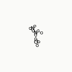 c1ccc(-c2cccc(N(c3ccc(-c4ccc5oc6c(-c7ccccc7)cccc6c5c4)cc3)c3ccc4c5ccccc5n(-c5ccccc5)c4c3)c2)cc1